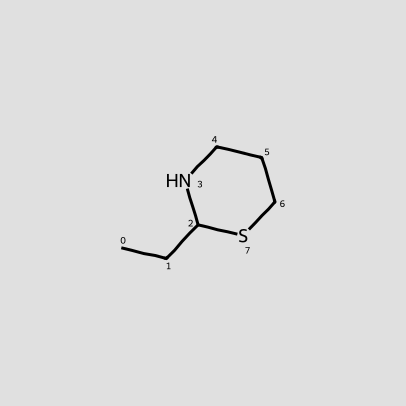 CCC1NCCCS1